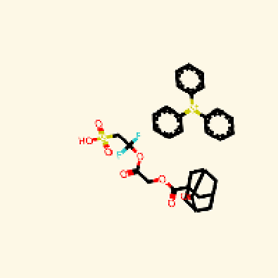 O=C(COC(=O)C12CC3CC(C1)C(=O)C(C3)C2)OC(F)(F)CS(=O)(=O)O.c1ccc([S+](c2ccccc2)c2ccccc2)cc1